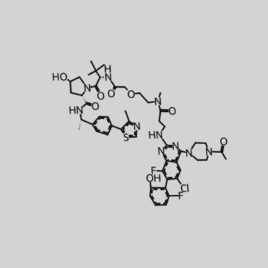 CC(=O)N1CCN(c2nc(NCCC(=O)N(C)CCOCC(=O)N[C@H](C(=O)N3C[C@H](O)C[C@H]3C(=O)N[C@@H](C)c3ccc(-c4scnc4C)cc3)C(C)(C)C)nc3c(F)c(-c4c(O)cccc4F)c(Cl)cc23)CC1